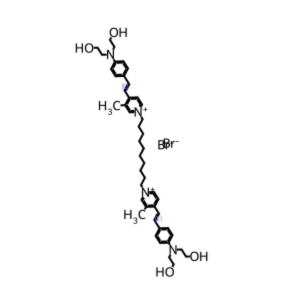 Cc1c[n+](CCCCCCCCCC[n+]2ccc(/C=C/c3ccc(N(CCO)CCO)cc3)c(C)c2)ccc1/C=C/c1ccc(N(CCO)CCO)cc1.[Br-].[Br-]